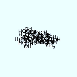 CC(=O)N[C@H]1[C@H](O[C@@H]2[C@H](O[C@]3(C(=O)O)C[C@H](O)[C@@H](NC(C)=O)[C@H]([C@H](O)[C@H](O)CO)O3)[C@@H](O)[C@H](O[C@H]3[C@H](O)[C@@H](O)[C@H](O)O[C@@H]3CO)O[C@@H]2CO)O[C@H](CO)[C@H](O)[C@@H]1O[C@@H]1O[C@H](CO)[C@H](O)[C@H](O[C@]2(C(=O)O)C[C@H](O)[C@@H](NC(C)=O)[C@H]([C@H](O)[C@@H](CO)O[C@]3(C(=O)O)C[C@H](O)[C@@H](NC(C)=O)[C@H]([C@H](O)[C@H](O)CO)O3)O2)[C@H]1O